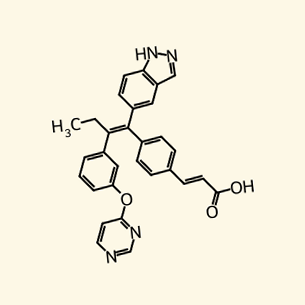 CC/C(=C(/c1ccc(/C=C/C(=O)O)cc1)c1ccc2[nH]ncc2c1)c1cccc(Oc2ccncn2)c1